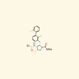 CC[S+]([O-])N[C@H]1[C@@H](F)CN(C(=O)NC)[C@H]1Cc1cccc(-c2ccccc2F)c1F